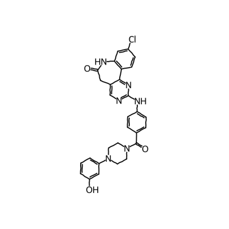 O=C1Cc2cnc(Nc3ccc(C(=O)N4CCN(c5cccc(O)c5)CC4)cc3)nc2-c2ccc(Cl)cc2N1